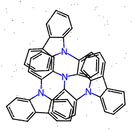 c1ccc(-n2c3ccccc3c3ccccc32)c(N(c2ccccc2-n2c3ccccc3c3ccccc32)c2ccccc2-n2c3ccccc3c3ccccc32)c1